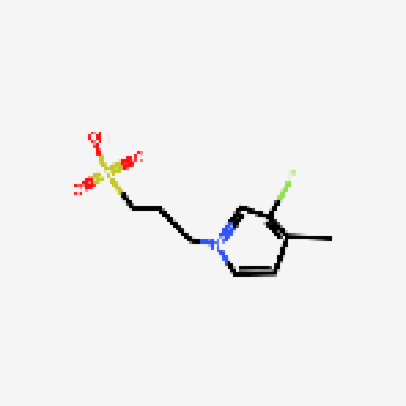 Cc1cc[n+](CCCS(=O)(=O)O)cc1F